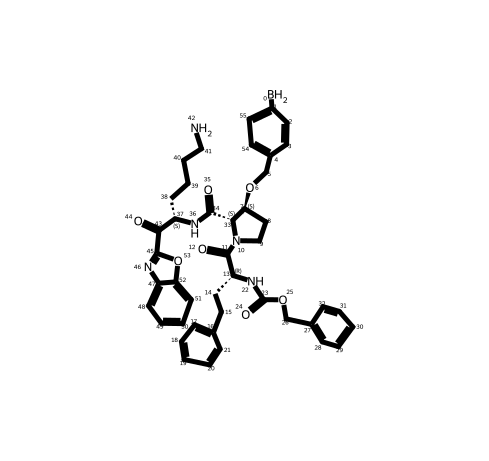 Bc1ccc(CO[C@H]2CCN(C(=O)[C@@H](CCc3ccccc3)NC(=O)OCc3ccccc3)[C@@H]2C(=O)N[C@@H](CCCCN)C(=O)c2nc3ccccc3o2)cc1